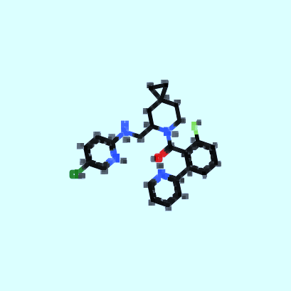 O=C(c1c(F)cccc1-c1ccccn1)N1CCC2(CC2)CC1CNc1ccc(Cl)cn1